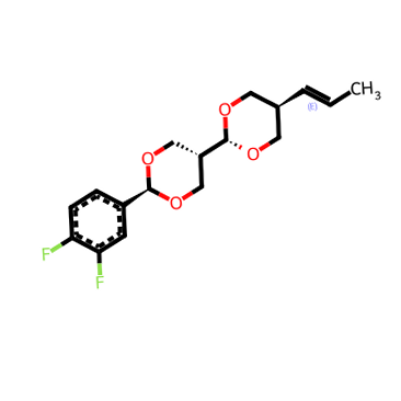 C/C=C/[C@H]1CO[C@H]([C@H]2CO[C@H](c3ccc(F)c(F)c3)OC2)OC1